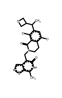 Cc1[nH]c(=O)c(CN2CCc3c(Cl)cc(C(C)C4COC4)c(Cl)c3C2=O)c2cnsc12